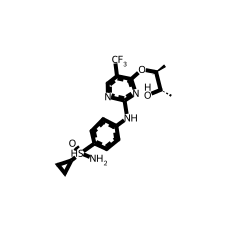 C[C@H](O)[C@H](C)Oc1nc(Nc2ccc([SH](N)(=O)C3CC3)cc2)ncc1C(F)(F)F